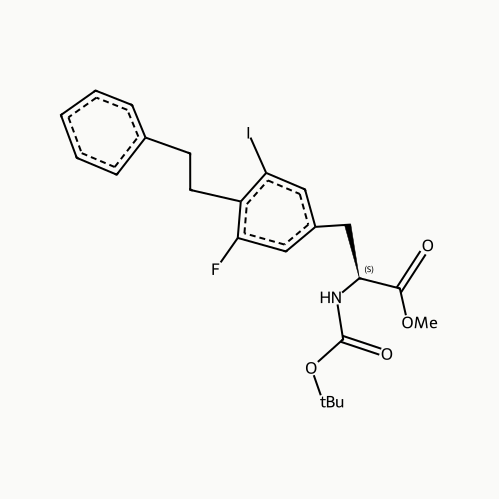 COC(=O)[C@H](Cc1cc(F)c(CCc2ccccc2)c(I)c1)NC(=O)OC(C)(C)C